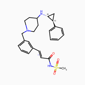 CS(=O)(=O)NC(=O)/C=C/c1cccc(CN2CCC(N[C@@H]3C[C@H]3c3ccccc3)CC2)c1